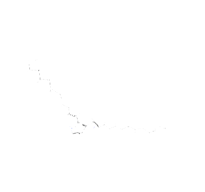 CCCCCCCCCCCCCCCCCC/C=C/C1=C(/C=C/CCCCCCCCCCCCCCCCCC)[N]C=C1